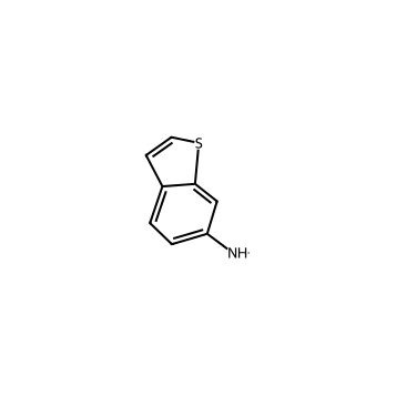 [NH]c1ccc2ccsc2c1